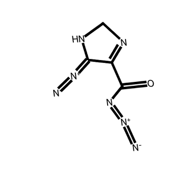 [N-]=[N+]=NC(=O)C1=NCNC1=[N+]=[N-]